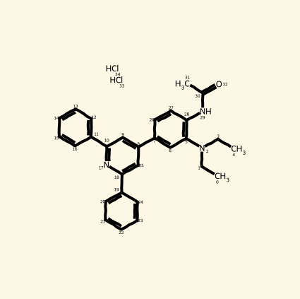 CCN(CC)c1cc(-c2cc(-c3ccccc3)nc(-c3ccccc3)c2)ccc1NC(C)=O.Cl.Cl